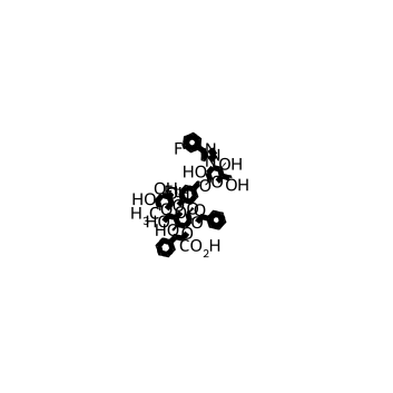 CCC1CC(CO[C@H]2OC(CO)[C@@H](O)C(n3cc(-c4cccc(F)c4)nn3)C2O)C[C@@H](O[C@@H]2OC(CO)[C@H](O)C(O[C@@H](CC3CCCCC3)C(=O)O)C2OC(=O)c2ccccc2)C1O[C@@H]1OC(C)[C@@H](O)C(O)C1O